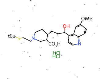 COc1ccc2nccc(C(O)CC[C@@H]3CCN(CCSC(C)(C)C)C[C@@H]3C(=O)O)c2c1.Cl.Cl